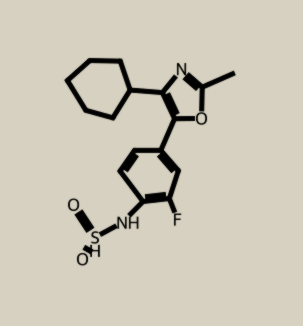 Cc1nc(C2CCCCC2)c(-c2ccc(N[SH](=O)=O)c(F)c2)o1